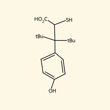 CC(C)(C)C(c1ccc(O)cc1)(C(S)C(=O)O)C(C)(C)C